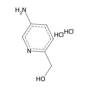 Cl.Cl.Nc1ccc(CO)nc1